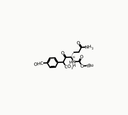 CC(C)(C)OC(=O)N[C@@H](CCC(N)=O)C(=O)C(C(=O)O)c1ccc(C=O)cc1